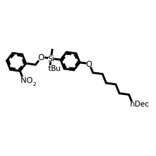 CCCCCCCCCCCCCCCCOc1ccc([Si](C)(OCc2ccccc2[N+](=O)[O-])C(C)(C)C)cc1